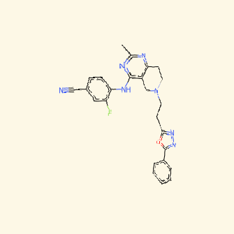 Cc1nc2c(c(Nc3ccc(C#N)cc3F)n1)CN(CCc1nnc(-c3ccccc3)o1)CC2